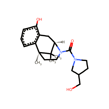 CC1(C)[C@H]2Cc3c(O)cccc3[C@]1(C)CCN2C(=O)N1CCC(CO)C1